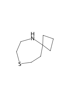 C1CC2(C1)CCSCCN2